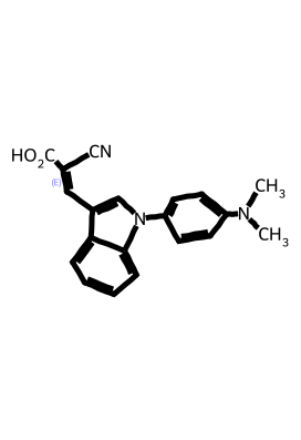 CN(C)c1ccc(-n2cc(/C=C(\C#N)C(=O)O)c3ccccc32)cc1